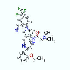 CCOc1ccccc1-c1ccc(C2(NC(=O)CN(C)C)CCN(c3ccc(C(F)(F)F)cc3C#N)CC2)cn1